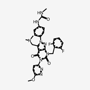 CNC(=O)Nc1ccc(-n2nc3c(c2CN(C)C)c(=O)n(-c2ccc(OC)nn2)c(=O)n3Cc2c(F)cccc2F)cc1